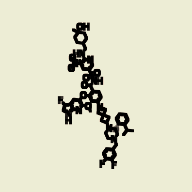 COc1nc2[nH]cc(F)c2cc1Oc1cc(N2CC3(CC(N4CCN(Cc5ccc(F)c(F)c5)C[C@H]4c4ccccc4C(C)C)C3)C2)ccc1C(=O)NS(=O)(=O)c1cnc(NCC2CCC(C)(O)CC2)c([N+](=O)[O-])c1